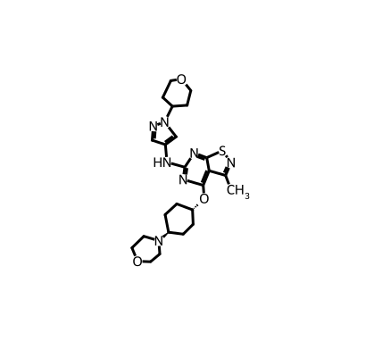 Cc1nsc2nc(Nc3cnn(C4CCOCC4)c3)nc(O[C@H]3CC[C@H](N4CCOCC4)CC3)c12